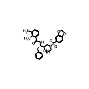 Cc1c(N)cccc1C(=O)N[C@@H](Cc1ccccc1)[C@H](O)CN(CC(C)C)S(=O)(=O)c1ccc2c(c1)OCO2